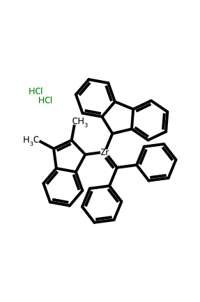 CC1=C(C)[CH]([Zr](=[C](c2ccccc2)c2ccccc2)[CH]2c3ccccc3-c3ccccc32)c2ccccc21.Cl.Cl